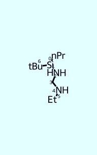 CCC[SiH](NCNCC)C(C)(C)C